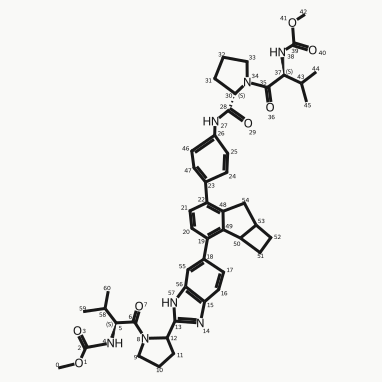 COC(=O)N[C@H](C(=O)N1CCCC1c1nc2ccc(-c3ccc(-c4ccc(NC(=O)[C@@H]5CCCN5C(=O)[C@@H](NC(=O)OC)C(C)C)cc4)c4c3C3CCC3C4)cc2[nH]1)C(C)C